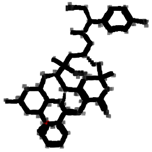 COC(C)(C[C@@H](C)CN(C)[C@@H](CO)c1ccc(Br)cc1)[C@H](OC1OC(C)CC(N(C)C)C1OC(=O)c1ccccc1)[C@@H](C)C1=C(C)C(=O)OC(C)(C)O1